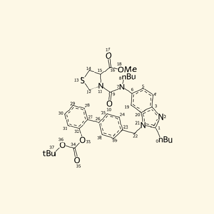 CCCCc1nc2ccc(N(CCCC)C(=O)N3CSCC3C(=O)OC)cc2n1Cc1ccc(-c2ccccc2OC(=O)OC(C)(C)C)cc1